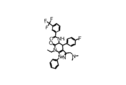 CCN1C(=O)C(NC(=O)c2cccc(C(F)(F)F)c2)C(c2ccc(F)cc2)c2c(CN(C)C)nn(-c3ccccc3)c21